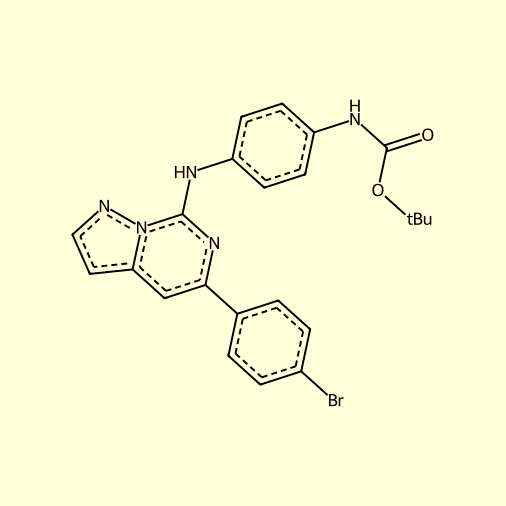 CC(C)(C)OC(=O)Nc1ccc(Nc2nc(-c3ccc(Br)cc3)cc3ccnn23)cc1